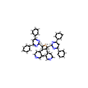 c1ccc(-c2cc(-c3ccccc3)nc(-c3sc(-c4nc(-c5ccccc5)cc(-c5ccccc5)n4)c4c5ccncc5c5cnccc5c34)n2)cc1